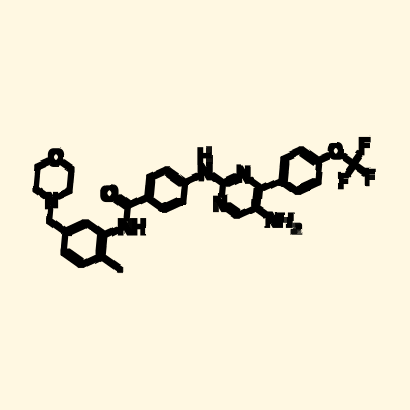 Cc1ccc(CN2CCOCC2)cc1NC(=O)c1ccc(Nc2ncc(N)c(-c3ccc(OC(F)(F)F)cc3)n2)cc1